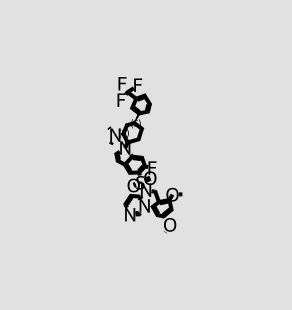 COc1ccc(CN(c2ccncn2)S(=O)(=O)c2cc3ccn(C4CC[C@H](c5cccc(C(F)(F)F)c5)C[C@@H]4N(C)C)c3cc2F)c(OC)c1